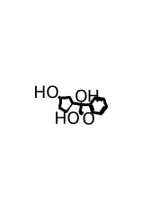 O=C(O)[C@](O)(c1ccccc1)[C@H]1CCC(O)C1